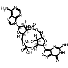 CO[C@H]1[C@H]2OP(=O)(O)OC[C@H]3O[C@@H](n4cnc5c(N)ncnc54)[C@H](F)[C@@H]3P(=O)(S)OC[C@H]1O[C@H]2c1snc2c(=O)[nH]c(N)nc12